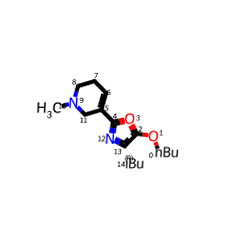 CCCCOc1oc(C2=CCCN(C)C2)nc1[C@H](C)CC